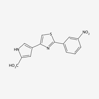 O=C(O)c1cc(-c2csc(-c3cccc([N+](=O)[O-])c3)n2)c[nH]1